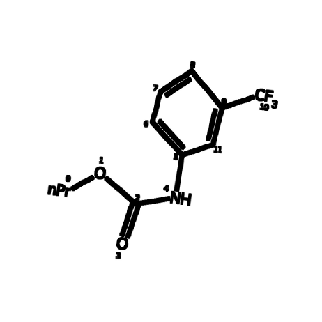 [CH2]CCOC(=O)Nc1cccc(C(F)(F)F)c1